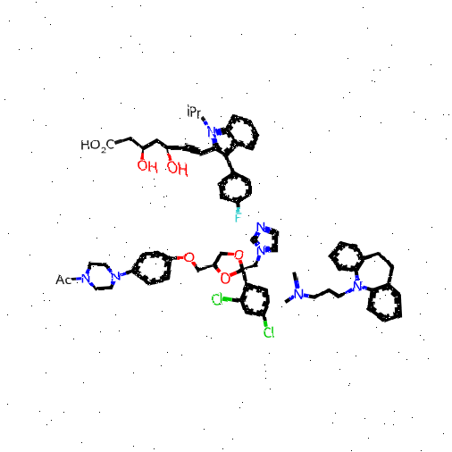 CC(=O)N1CCN(c2ccc(OC[C@H]3CO[C@](Cn4ccnc4)(c4ccc(Cl)cc4Cl)O3)cc2)CC1.CC(C)n1c(/C=C/[C@@H](O)C[C@@H](O)CC(=O)O)c(-c2ccc(F)cc2)c2ccccc21.CN(C)CCCN1c2ccccc2CCc2ccccc21